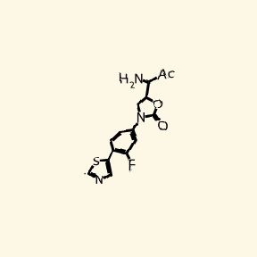 CC(=O)C(N)C1CN(c2ccc(-c3cn[c]s3)c(F)c2)C(=O)O1